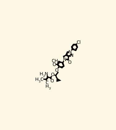 COc1cc(N2Cc3cn(-c4ccc(Cl)cc4)nc3C2=O)ccc1OCC(OC(=O)C(N)=C(C)C)C1CC1